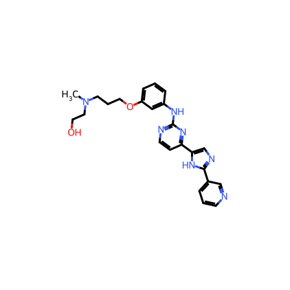 CN(CCO)CCCOc1cccc(Nc2nccc(-c3cnc(-c4cccnc4)[nH]3)n2)c1